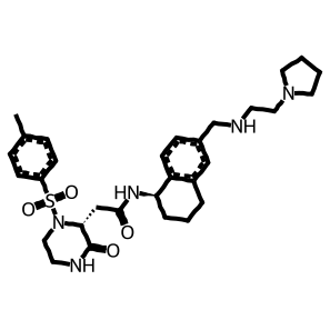 Cc1ccc(S(=O)(=O)N2CCNC(=O)[C@H]2CC(=O)N[C@@H]2CCCc3cc(CNCCN4CCCC4)ccc32)cc1